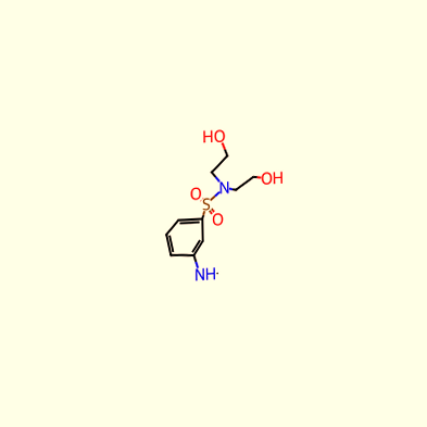 [NH]c1cccc(S(=O)(=O)N(CCO)CCO)c1